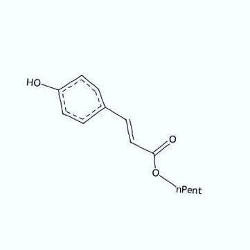 CCCCCOC(=O)/C=C/c1ccc(O)cc1